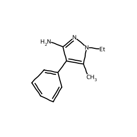 CCn1nc(N)c(-c2ccccc2)c1C